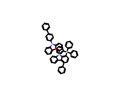 c1ccc(-c2ccc(-n3c4ccccc4c4c(-n5c6ccccc6c6c(-c7ccccc7)ccc([Si](c7ccccc7)(c7ccccc7)c7ccccc7)c65)cccc43)cc2)cc1